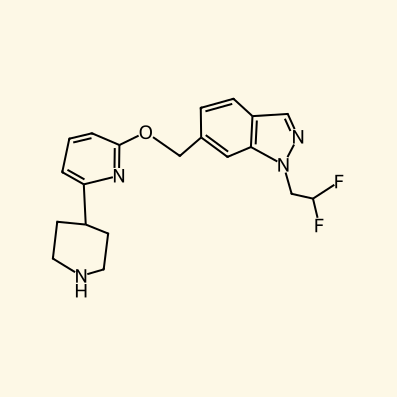 FC(F)Cn1ncc2ccc(COc3cccc(C4CCNCC4)n3)cc21